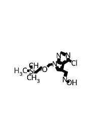 C[Si](C)(C)CCOCn1cc(C=NO)c2c(Cl)ncnc21